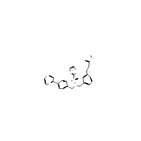 COC(=O)CCc1cccc(CN(Cc2ccc(-c3cnccn3)cc2)S(=O)(=O)c2nccs2)c1